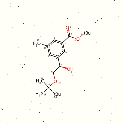 CC(C)(C)OC(=O)c1cc([C@@H](O)CO[Si](C)(C)C(C)(C)C)cc(C(F)(F)F)c1